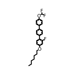 CCCCCCCOc1ccc(-c2ccc(-c3ccc(OC(F)F)cc3)cc2)c(F)c1